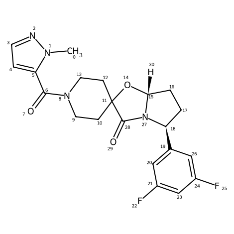 Cn1nccc1C(=O)N1CCC2(CC1)O[C@@H]1CC[C@@H](c3cc(F)cc(F)c3)N1C2=O